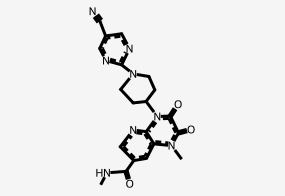 CNC(=O)c1cnc2c(c1)n(C)c(=O)c(=O)n2C1CCN(c2ncc(C#N)cn2)CC1